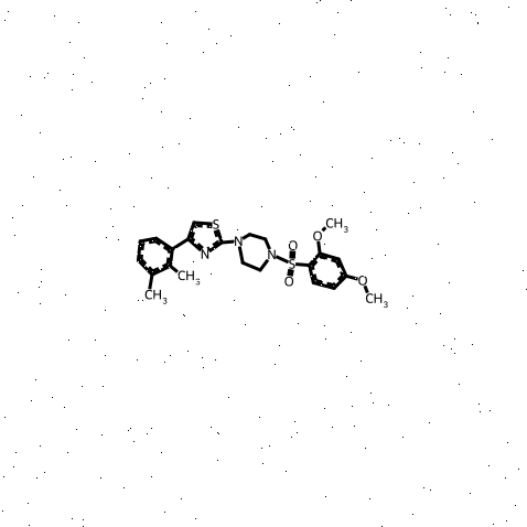 COc1ccc(S(=O)(=O)N2CCN(c3nc(-c4cccc(C)c4C)cs3)CC2)c(OC)c1